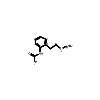 CCCC(=O)Nc1ccccc1CCO[C]=O